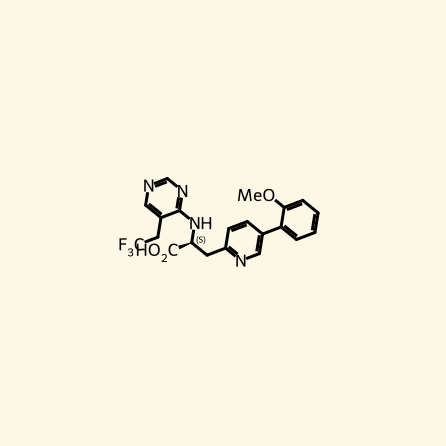 COc1ccccc1-c1ccc(C[C@H](Nc2ncncc2CC(F)(F)F)C(=O)O)nc1